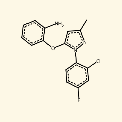 Cc1cc(Oc2ccccc2N)n(-c2ccc(F)cc2Cl)n1